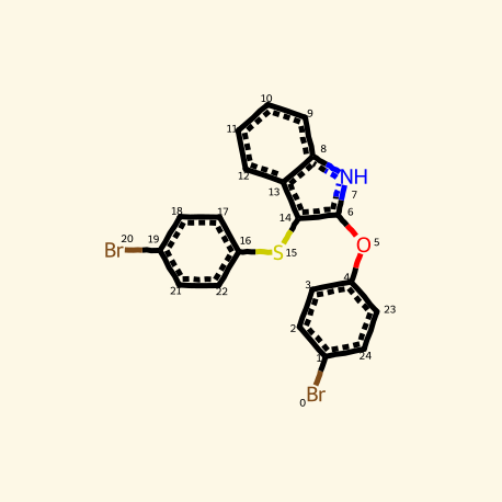 Brc1ccc(Oc2[nH]c3ccccc3c2Sc2ccc(Br)cc2)cc1